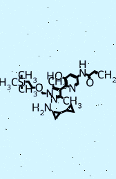 C=CC(=O)Nc1cnc(-c2c(C)nn(COCC[Si](C)(C)C)c2C)c(O)c1.N[C@H]1CC1C1CC1